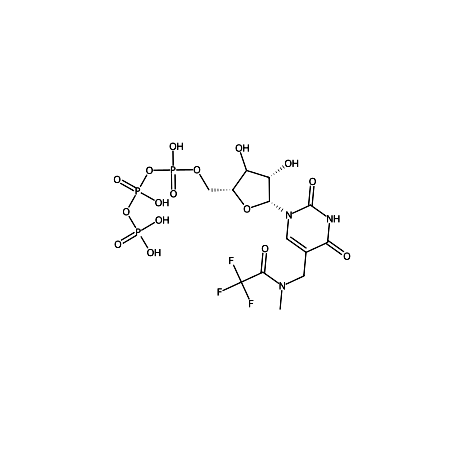 CN(Cc1cn([C@@H]2O[C@H](COP(=O)(O)OP(=O)(O)OP(=O)(O)O)C(O)[C@@H]2O)c(=O)[nH]c1=O)C(=O)C(F)(F)F